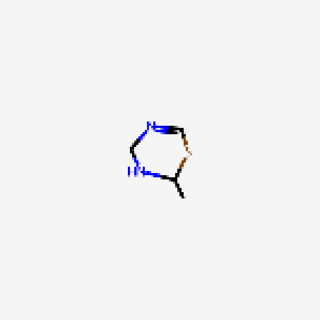 CC1NCN=CS1